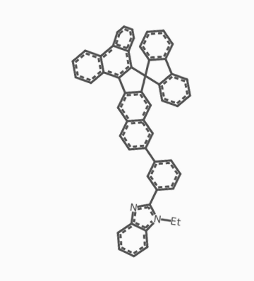 CCn1c(-c2cccc(-c3ccc4cc5c(cc4c3)C3(c4ccccc4-c4ccccc43)c3c-5c4ccccc4c4ccccc34)c2)nc2ccccc21